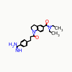 CCN(CC)C(=O)c1ccc2c(c1)CCCN2C(=O)CCc1ccc(C(=N)N)cc1